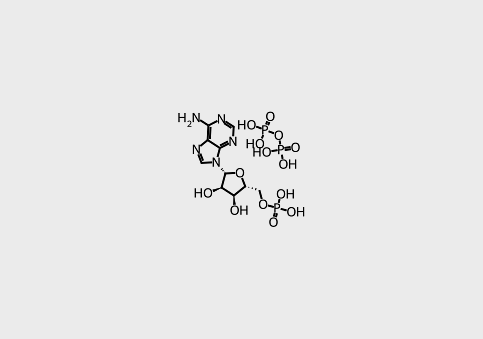 Nc1ncnc2c1ncn2[C@@H]1O[C@H](COP(=O)(O)O)[C@@H](O)[C@H]1O.O=P(O)(O)OP(=O)(O)O